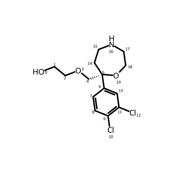 OCCOC[C@]1(c2ccc(Cl)c(Cl)c2)CCNCCO1